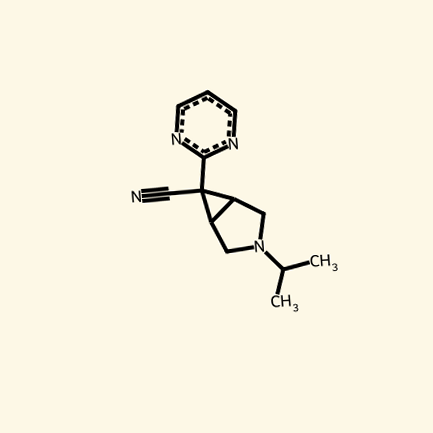 CC(C)N1CC2C(C1)C2(C#N)c1ncccn1